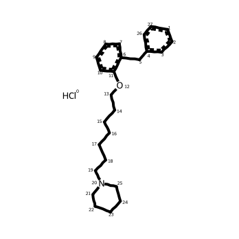 Cl.c1ccc(Cc2ccccc2OCCCCCCCN2CCCCC2)cc1